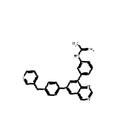 C=C(C)Nc1cccc(-c2cc(-c3ccc(Cc4cccnc4)cc3)cc3cncnc23)c1